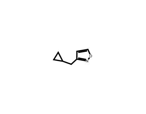 c1cc(CC2CC2)no1